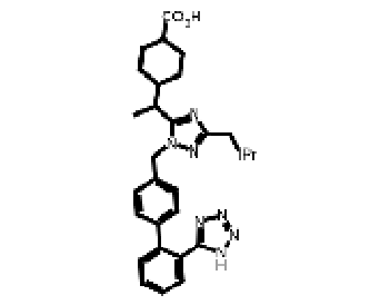 CC(C)Cc1nc(C(C)C2CCC(C(=O)O)CC2)n(Cc2ccc(-c3ccccc3-c3nnn[nH]3)cc2)n1